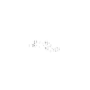 Cc1cnc(CNc2ncnc3c2ncn3[C@@H]2O[C@H](CNS(=O)(=O)O)[C@@H](O)[C@H]2O)cn1